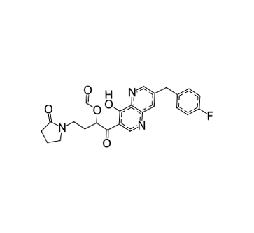 O=COC(CCN1CCCC1=O)C(=O)c1cnc2cc(Cc3ccc(F)cc3)cnc2c1O